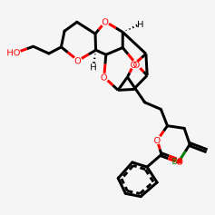 C=C(Br)CC(CCC1OC2C3CC1OC1C(O3)[C@H]2OC2CCC(CCO)O[C@@H]21)OC(=O)c1ccccc1